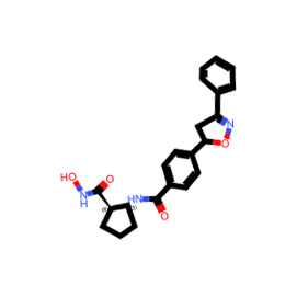 O=C(N[C@H]1CCC[C@H]1C(=O)NO)c1ccc(C2CC(c3ccccc3)=NO2)cc1